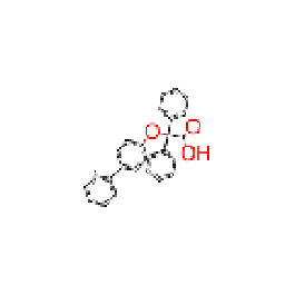 O=C(O)C(Oc1ccc(-c2[c]cccc2)cc1)(c1ccccc1)c1ccccc1